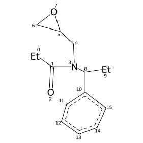 CCC(=O)N(CC1CO1)C(CC)c1ccccc1